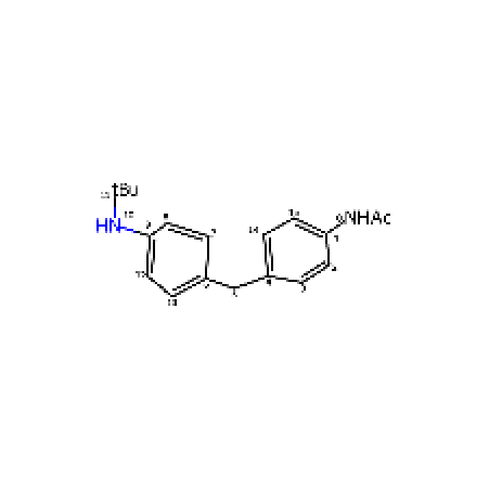 CC(=O)Nc1ccc(Cc2ccc(NC(C)(C)C)cc2)cc1